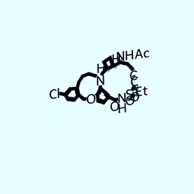 CC[C@@H]1CCCC[C@@H](NC(C)=O)[C@@H]2CC[C@H]2CN2CCCCc3cc(Cl)ccc3COc3ccc(cc32)C(=O)NS1(=O)=O